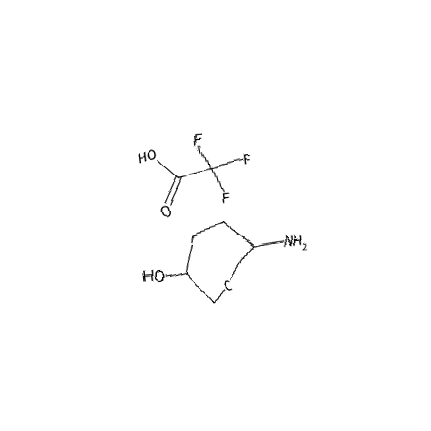 NC1CCC(O)CC1.O=C(O)C(F)(F)F